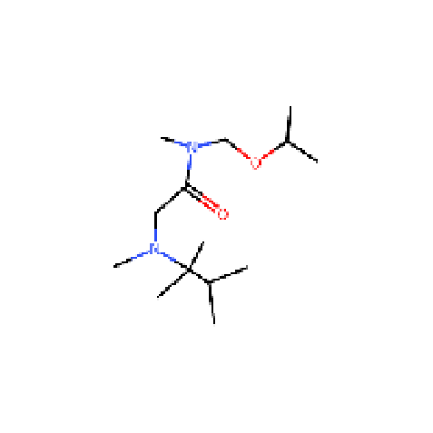 CC(C)OCN(C)C(=O)CN(C)C(C)(C)C(C)C